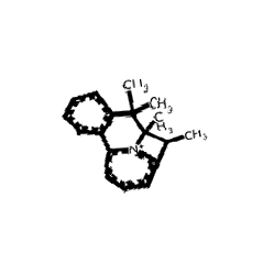 CC1c2cccc3[n+]2C1(C)C(C)(C)c1ccccc1-3